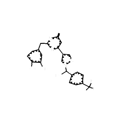 Cc1ccc(Cc2nc(-c3cnn(C(C)c4ccc(C(F)(F)F)cc4)c3)cc(=O)[nH]2)cc1C